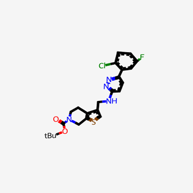 CC(C)(C)OC(=O)N1CCc2c(CNc3ccc(-c4cc(F)ccc4Cl)nn3)csc2C1